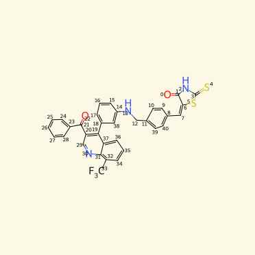 O=C1NC(=S)S/C1=C/c1ccc(CNc2cccc(-c3c(C(=O)c4ccccc4)cnc4c(C(F)(F)F)cccc34)c2)cc1